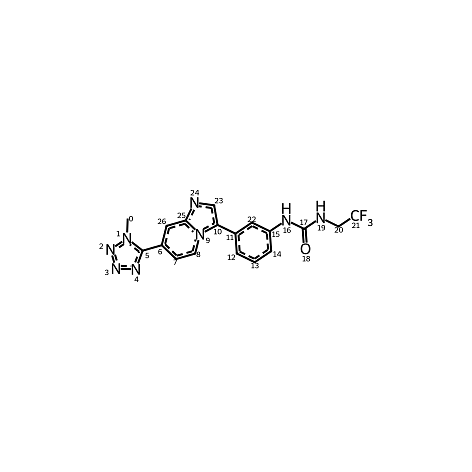 Cn1nnnc1-c1ccn2c(-c3cccc(NC(=O)NCC(F)(F)F)c3)cnc2c1